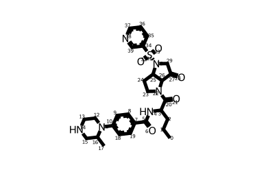 CCCC(NC(=O)c1ccc(N2CCNCC2C)cc1)C(=O)N1CCC2C1C(=O)CN2S(=O)(=O)c1cccnc1